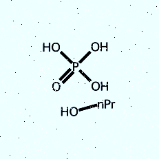 CCCO.O=P(O)(O)O